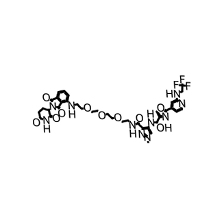 Cn1cc(NC(O)c2coc(-c3ccnc(NCC(F)(F)F)c3)n2)c(C(=O)NCCOCCOCCOCCNc2cccc3c2C(=O)N(C2CCC(=O)NC2=O)C3=O)n1